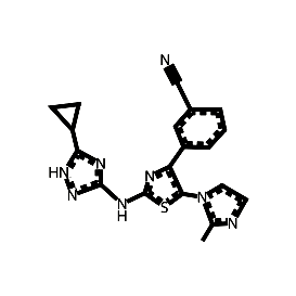 Cc1nccn1-c1sc(Nc2n[nH]c(C3CC3)n2)nc1-c1cccc(C#N)c1